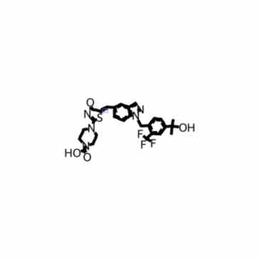 CC(C)(O)c1ccc(Cn2ncc3cc(/C=C4\SC(N5CCN(C(=O)O)CC5)=NC4=O)ccc32)c(C(F)(F)F)c1